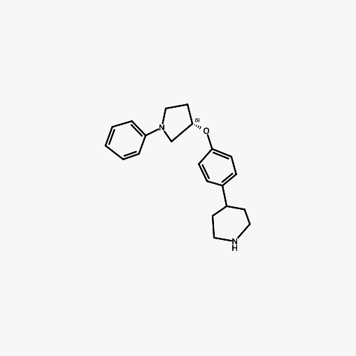 c1ccc(N2CC[C@H](Oc3ccc(C4CCNCC4)cc3)C2)cc1